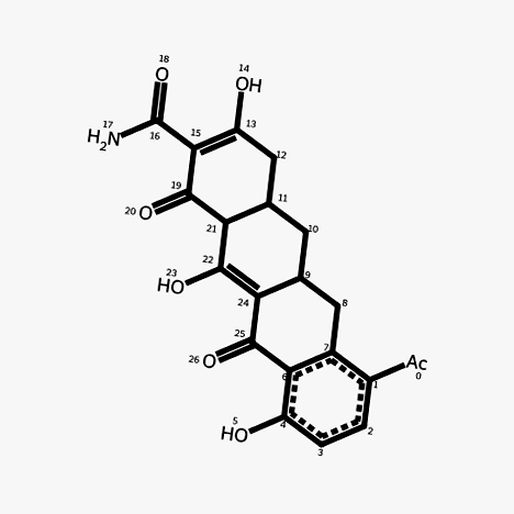 CC(=O)c1ccc(O)c2c1CC1CC3CC(O)=C(C(N)=O)C(=O)C3C(O)=C1C2=O